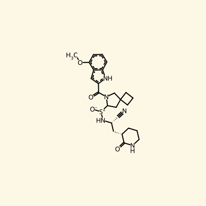 COc1cccc2[nH]c(C(=O)N3CC4(CCC4)CC3[S+]([O-])N[C@H](C#N)C[C@@H]3CCCNC3=O)cc12